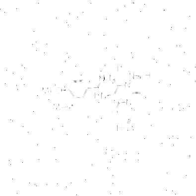 C#CCn1c(=O)c(NC(=O)c2ccc(OC)c(OC)c2)c(N)n(N(C)C)c1=O